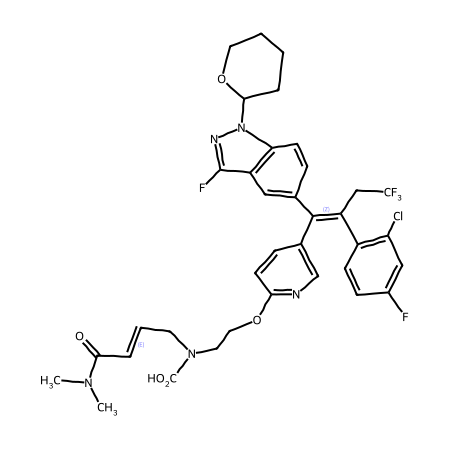 CN(C)C(=O)/C=C/CN(CCOc1ccc(/C(=C(/CC(F)(F)F)c2ccc(F)cc2Cl)c2ccc3c(c2)c(F)nn3C2CCCCO2)cn1)C(=O)O